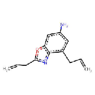 C=CCc1nc2c(CC=C)cc(N)cc2o1